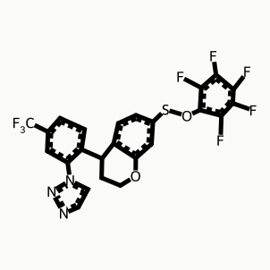 Fc1c(F)c(F)c(OSc2ccc3c(c2)OCCC3c2ccc(C(F)(F)F)cc2-n2ccnn2)c(F)c1F